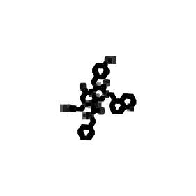 C#CCN1CC(=O)N2[C@@H](Cc3ccc(O)cc3)C(=O)N(Cc3cccc4ncccc34)C[C@@H]2N1C(=O)NCc1ccccc1